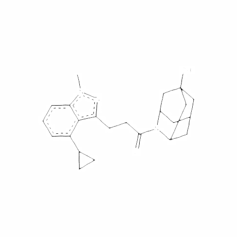 Cn1nc(CCC(=O)N2C3CC4CC2CC(O)(C4)C3)c2c(C3CC3)cccc21